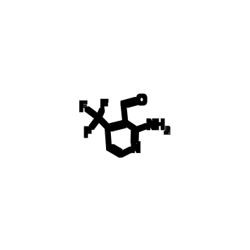 Nc1nccc(C(F)(F)F)c1C=O